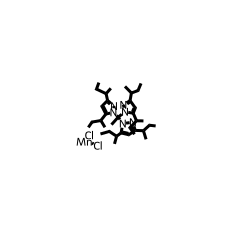 CCC(C)c1cc(C(C)CC)n(C(C)(n2nc(C(C)CC)cc2C(C)CC)n2nc(C(C)CC)cc2C(C)CC)n1.[Cl][Mn][Cl]